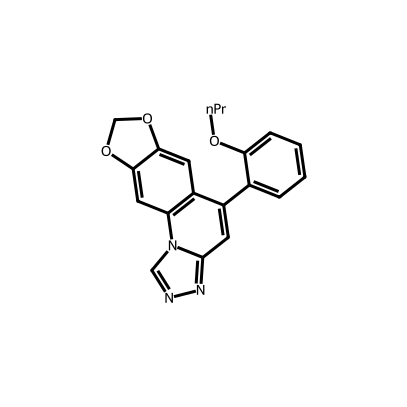 CCCOc1ccccc1-c1cc2nncn2c2cc3c(cc12)OCO3